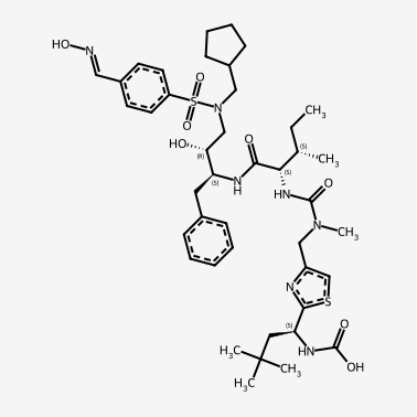 CC[C@H](C)[C@H](NC(=O)N(C)Cc1csc([C@H](CC(C)(C)C)NC(=O)O)n1)C(=O)N[C@@H](Cc1ccccc1)[C@H](O)CN(CC1CCCC1)S(=O)(=O)c1ccc(C=NO)cc1